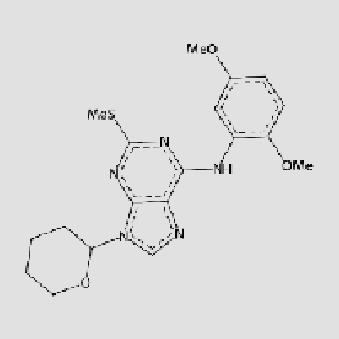 COc1ccc(OC)c(Nc2nc(SC)nc3c2ncn3C2CCCCO2)c1